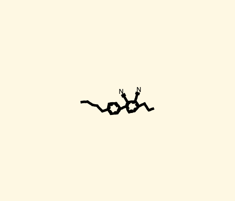 CCCCCc1ccc(-c2ccc(CCC)c(C#N)c2C#N)cc1